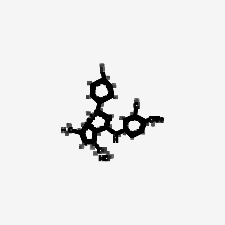 COc1ccc(Nc2nc(-c3ccc(F)cc3)nc3c(C)nn(C)c23)cc1Cl.Cl